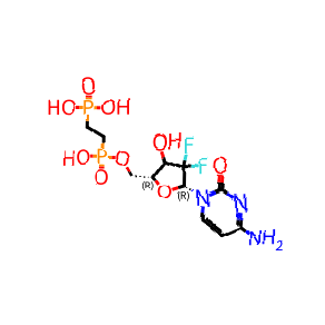 Nc1ccn([C@@H]2O[C@H](COP(=O)(O)CCP(=O)(O)O)C(O)C2(F)F)c(=O)n1